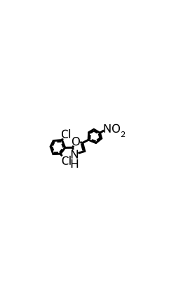 O=[N+]([O-])c1ccc(C2=CNC(c3c(Cl)cccc3Cl)O2)cc1